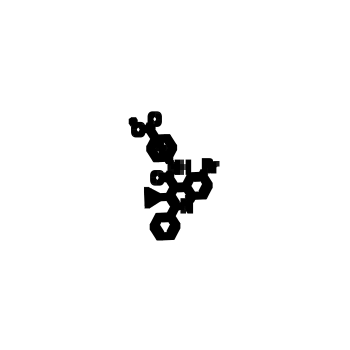 COC(=O)C12CCC(NC(=O)c3c(C4CC4)c(-c4ccccc4)nc4ccc(Br)cc34)(CC1)CC2